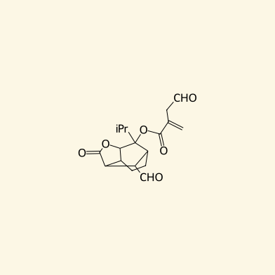 C=C(CC=O)C(=O)OC1(C(C)C)C2CCC3C(C(=O)OC31)C2C=O